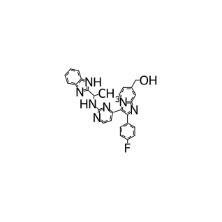 CC(Nc1nccc(-c2c(-c3ccc(F)cc3)nc3cc(CO)ccn23)n1)c1nc2ccccc2[nH]1